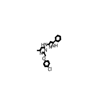 Cc1cc(Nc2cc(-c3ccccc3)[nH]n2)nc(COc2ccc(Cl)cc2)n1